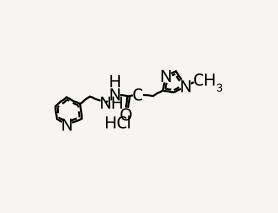 Cl.Cn1cnc(CCC(=O)NNCc2cccnc2)c1